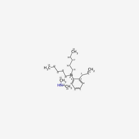 C=CCc1cccc[c]1[Bi]([CH2]CCCC)[CH2]CCCC.CNC